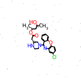 CC(C[C@H](C)O)OC(=O)C[C@H]1CN(C2=Nc3cc(Cl)ccc3Oc3ccccc32)CCN1